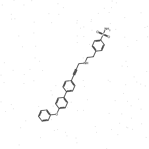 NS(=O)(=O)c1ccc(CCNCC#Cc2ccc(-c3ccc(Oc4ccccc4)cc3)cc2)cc1